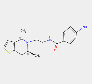 C[C@H]1Cc2sccc2[C@H](C)N1CCNC(=O)c1ccc(N)cc1